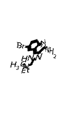 CCN(C)Cc1nc2c(N)nc3ccc(Br)cc3c2[nH]1